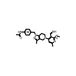 CNc1nc(C)cc(N2CCc3c(c(C)nn3CC34CCC(NC(C)=O)(CC3)CC4)C2)c1C=N